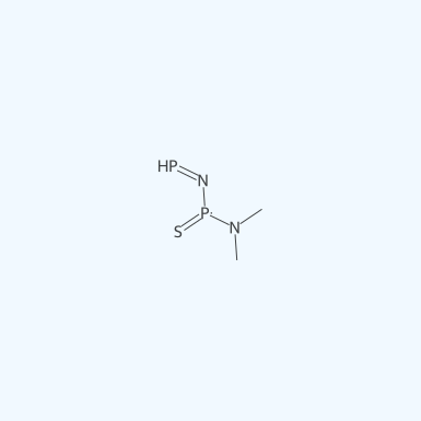 CN(C)[P](=S)N=P